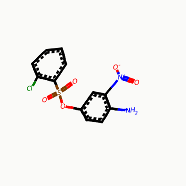 Nc1ccc(OS(=O)(=O)c2ccccc2Cl)cc1[N+](=O)[O-]